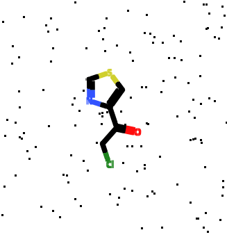 O=C(CCl)c1cs[c]n1